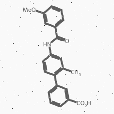 COc1cccc(C(=O)Nc2ccc(-c3cccc(C(=O)O)c3)c(C)c2)c1